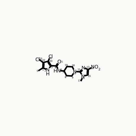 Cc1[nH]c(C(=O)NC2CCN(c3nc([N+](=O)[O-])cn3C)CC2)c(Cl)c1Cl